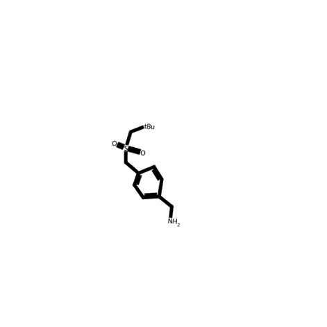 CC(C)(C)CS(=O)(=O)Cc1ccc(CN)cc1